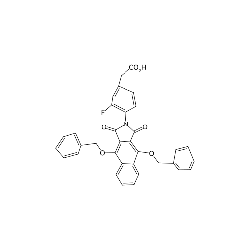 O=C(O)Cc1ccc(N2C(=O)c3c(c(OCc4ccccc4)c4ccccc4c3OCc3ccccc3)C2=O)c(F)c1